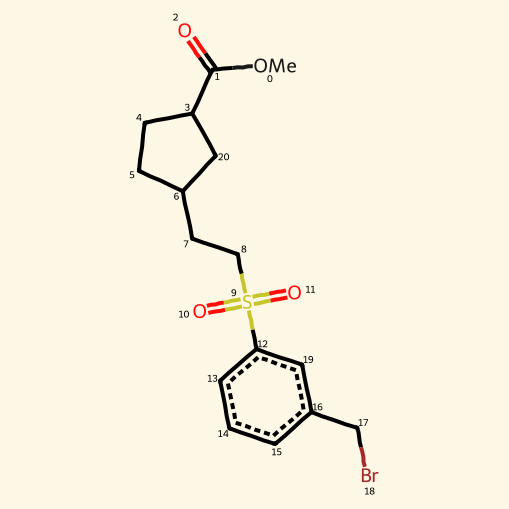 COC(=O)C1CCC(CCS(=O)(=O)c2cccc(CBr)c2)C1